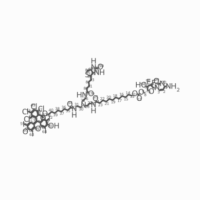 Nc1ccn([C@@H]2O[C@H](COC(=O)OCCCCCCCCCCCC(=O)NCCN(CCNC(=O)CCCCCCCOC(=O)c3c(Cl)c(Cl)c(Cl)c(Cl)c3-c3c4cc(I)c(=O)c(I)c-4oc4c(I)c(O)c(I)cc34)CCNC(=O)CCCCC3SCC4NC(=O)NC43)[C@@H](O)C2(F)F)c(=O)n1